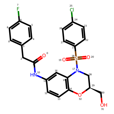 O=C(Cc1ccc(F)cc1)Nc1ccc2c(c1)N(S(=O)(=O)c1ccc(Cl)cc1)C[C@@H](CO)O2